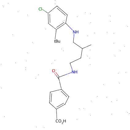 CC(CCNC(=O)c1ccc(C(=O)O)cc1)CNc1ccc(Cl)cc1C(C)(C)C